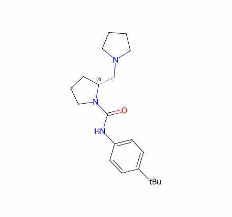 CC(C)(C)c1ccc(NC(=O)N2CCC[C@@H]2CN2CCCC2)cc1